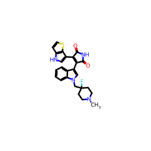 CN1CCC(F)(Cn2cc(C3=C(c4c[nH]c5ccsc45)C(=O)NC3=O)c3ccccc32)CC1